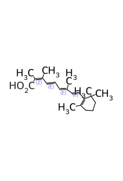 CC1=C(/C=C/C(C)=C/C=C/C(C)=C(/C)C(=O)O)C(C)(C)CCC1